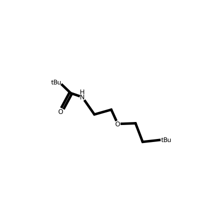 CC(C)(C)CCOCCNC(=O)C(C)(C)C